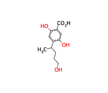 CC(CCCO)c1cc(O)c(C(=O)O)cc1O